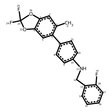 Cc1cc2c(cc1-c1ccc(NCc3ccccc3F)cc1)OC(F)(F)O2